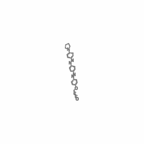 O=C=C=COc1ccc(/N=N/c2ccc(/N=N/c3ccc(N4CCCC4)cc3)cc2)cc1